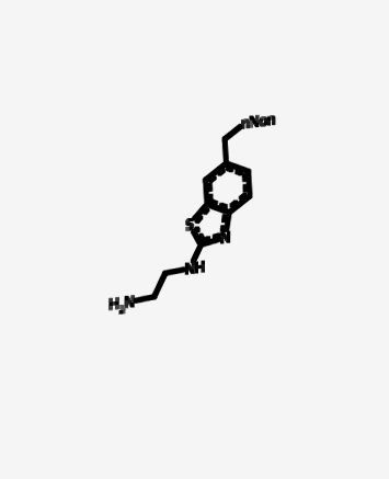 CCCCCCCCCCc1ccc2nc(NCCN)sc2c1